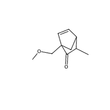 COCC12C=CC(C1)C(C)C2=O